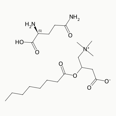 CCCCCCCC(=O)OC(CC(=O)[O-])C[N+](C)(C)C.NC(=O)CC[C@H](N)C(=O)O